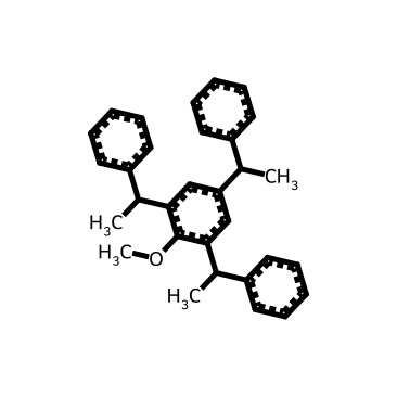 COc1c(C(C)c2ccccc2)cc(C(C)c2ccccc2)cc1C(C)c1ccccc1